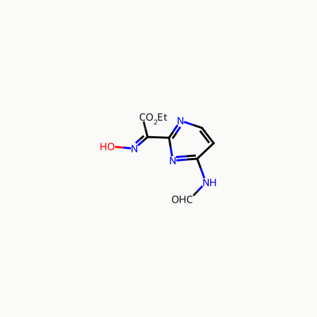 CCOC(=O)C(=NO)c1nccc(NC=O)n1